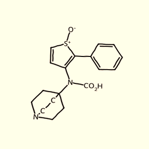 O=C(O)N(c1cc[s+]([O-])c1-c1ccccc1)C12CCN(CC1)CC2